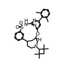 Cc1cccc(C)c1-c1cc2nc(n1)NS(=O)(=O)c1cccc(c1)C1CCN(C3C(C)(C)CC3(C)C)C[C@H](C1)O2